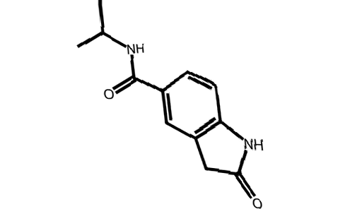 CC(C)NC(=O)c1ccc2c(c1)CC(=O)N2